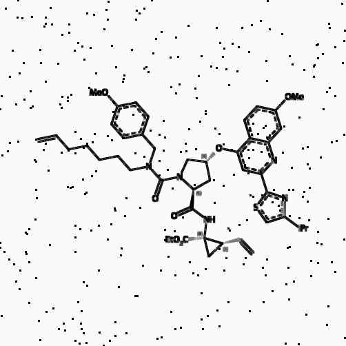 C=CCCCCCN(Cc1ccc(OC)cc1)C(=O)N1C[C@H](Oc2cc(-c3nc(C(C)C)cs3)nc3cc(OC)ccc23)C[C@H]1C(=O)N[C@]1(C(=O)OCC)C[C@H]1C=C